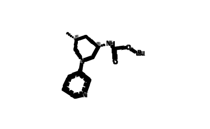 C[C@@H]1C[C@H](NC(=O)OC(C)(C)C)CN(c2cccnc2)C1